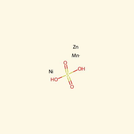 O=S(=O)(O)O.[Mn].[Ni].[Zn]